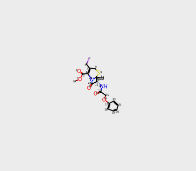 COC(=O)C1=C(CI)CS[C@@H]2[C@H](NC(=O)COc3ccccc3)C(=O)N12